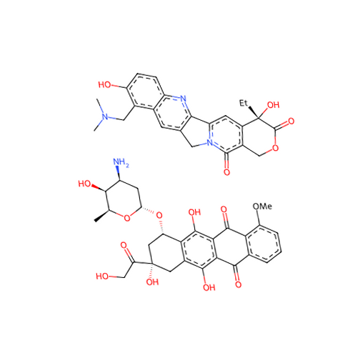 CC[C@@]1(O)C(=O)OCc2c1cc1n(c2=O)Cc2cc3c(CN(C)C)c(O)ccc3nc2-1.COc1cccc2c1C(=O)c1c(O)c3c(c(O)c1C2=O)C[C@@](O)(C(=O)CO)C[C@@H]3O[C@H]1C[C@H](N)[C@H](O)[C@H](C)O1